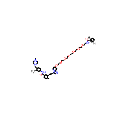 Cc1ccc(C(=O)Nc2ccc(CN3CCN(C)CC3)c(C(F)(F)F)c2)cc1C#Cc1cnc2cc(OCCOCCOCCOCCOCCOCCOCCNC(=O)[C@@H]3C[C@@H]4C=C[C@H]3C4)ccn12